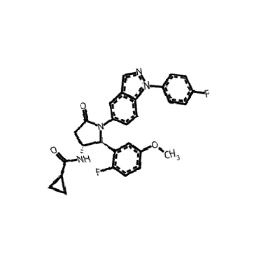 COc1ccc(F)c([C@H]2[C@H](NC(=O)C3CC3)CC(=O)N2c2ccc3c(cnn3-c3ccc(F)cc3)c2)c1